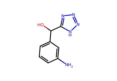 Nc1cccc(C(O)c2nnn[nH]2)c1